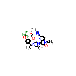 COCCOC[C@@H]1CN(c2cc(=O)n(C)c3ccc(C#N)nc23)[C@@H](C)CN1C(C)c1ccc(OC(F)(F)F)cc1